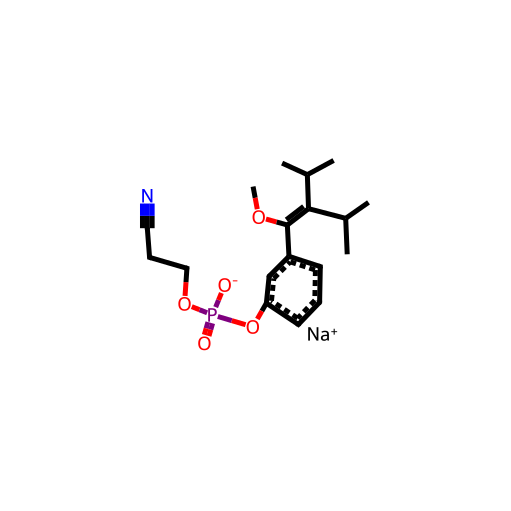 COC(=C(C(C)C)C(C)C)c1cccc(OP(=O)([O-])OCCC#N)c1.[Na+]